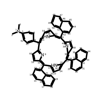 CN(C)c1ccc(-c2c3nc(c(-c4cccc5ccccc45)c4ccc([nH]4)c(-c4cccc5ccccc45)c4nc(c(-c5cccc6ccccc56)c5ccc2[nH]5)C=C4)C=C3)cc1